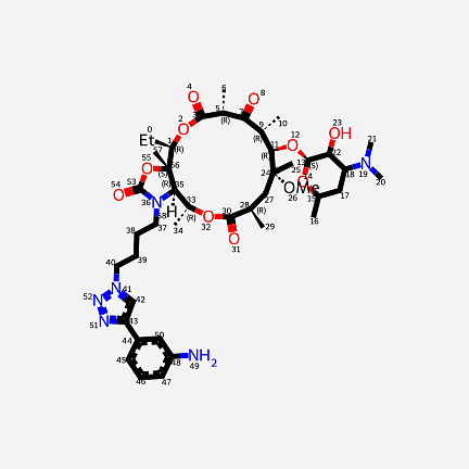 CC[C@H]1OC(=O)[C@H](C)C(=O)[C@H](C)[C@@H](O[C@@H]2OC(C)CC(N(C)C)C2O)[C@](C)(OC)C[C@@H](C)C(=O)O[C@H](C)[C@H]2N(CCCCn3cc(-c4cccc(N)c4)nn3)C(=O)O[C@]12C